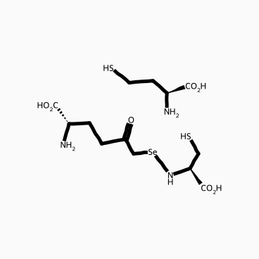 N[C@@H](CCC(=O)C[Se]N[C@@H](CS)C(=O)O)C(=O)O.N[C@@H](CCS)C(=O)O